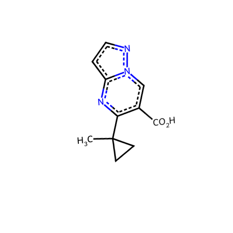 CC1(c2nc3ccnn3cc2C(=O)O)CC1